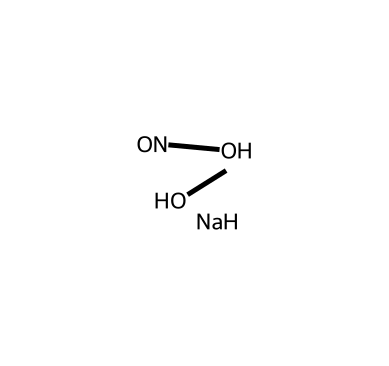 CO.O=NO.[NaH]